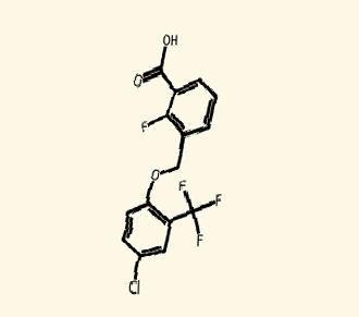 O=C(O)c1cccc(COc2ccc(Cl)cc2C(F)(F)F)c1F